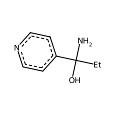 CCC(N)(O)c1ccncc1